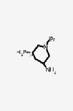 CC(C)N1CC(N)C[C@@H](P)C1